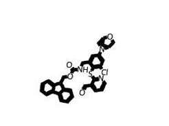 O=Cc1cccnc1Sc1c(Cl)cc(N2CC3CC2CO3)cc1CNC(=O)OCC1c2ccccc2-c2ccccc21